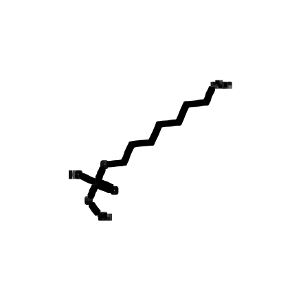 CCCCCCCCCCCCCCCCOP(=O)(O)OC(C)(C)C